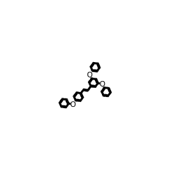 C(=Cc1cc(Oc2ccccc2)cc(Oc2ccccc2)c1)c1ccc(Oc2ccccc2)cc1